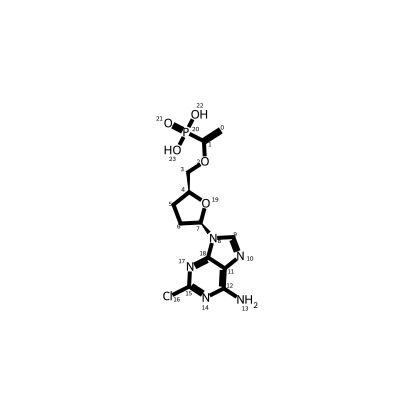 C=C(OC[C@@H]1CC[C@H](n2cnc3c(N)nc(Cl)nc32)O1)P(=O)(O)O